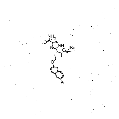 C[C@H](O[Si](C)(C)C(C)(C)C)[C@H](CCOc1ccc2cc(Br)ccc2c1)c1nc(C(N)=O)c[nH]1